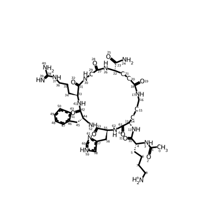 CC(=O)N[C@H](CCCCN)C(=O)N[C@H]1CCCNC(=O)CC[C@@H](C(N)=O)NC(=O)CNC(=O)[C@H](CCCNC(=N)N)NC(=O)[C@@H](Cc2ccccc2)NC(=O)[C@H](Cc2c[nH]cn2)NC1=O